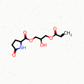 C=CC(=O)OCC(O)COC(=O)C1CCC(=O)N1